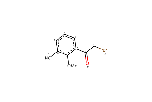 COc1c(C#N)cccc1C(=O)CBr